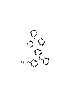 [I].[I].[Pd].[Pd].c1ccc(P(c2ccccc2)c2ccccc2)cc1.c1ccc(P(c2ccccc2)c2ccccc2)cc1